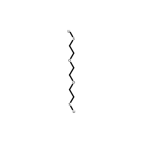 [Li][S]CCOCCOCC[S][Li]